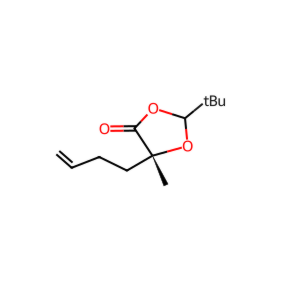 C=CCC[C@@]1(C)OC(C(C)(C)C)OC1=O